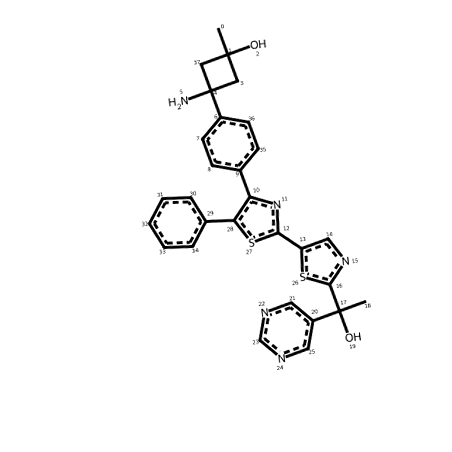 CC1(O)CC(N)(c2ccc(-c3nc(-c4cnc(C(C)(O)c5cncnc5)s4)sc3-c3ccccc3)cc2)C1